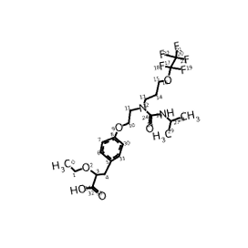 CCOC(Cc1ccc(OCCN(CCCOC(F)(F)C(F)(F)F)C(=O)NC(C)C)cc1)C(=O)O